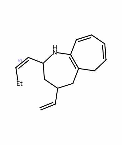 C=CC1CC2=C(C=CC=CC2)NC(/C=C\CC)C1